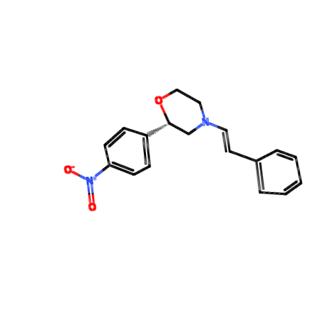 O=[N+]([O-])c1ccc([C@H]2CN(C=Cc3ccccc3)CCO2)cc1